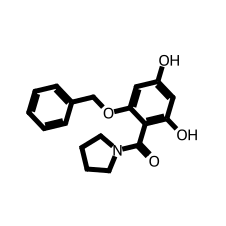 O=C(c1c(O)cc(O)cc1OCc1ccccc1)N1CCCC1